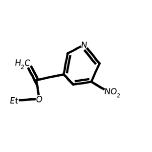 C=C(OCC)c1cncc([N+](=O)[O-])c1